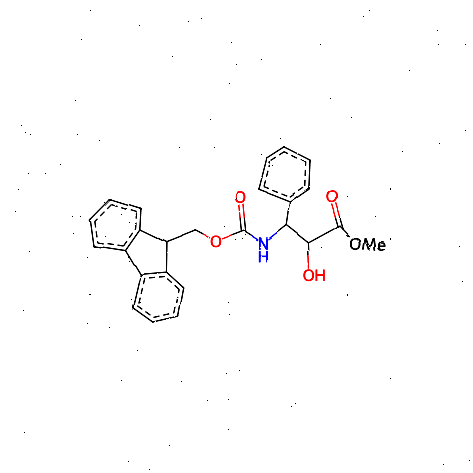 COC(=O)C(O)C(NC(=O)OCC1c2ccccc2-c2ccccc21)c1ccccc1